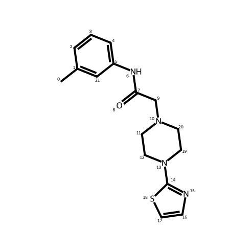 Cc1cccc(NC(=O)CN2CCN(c3nccs3)CC2)c1